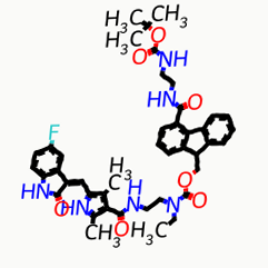 CCN(CCNC(=O)c1c(C)[nH]c(C=C2C(=O)Nc3ccc(F)cc32)c1C)C(=O)OCC1c2ccccc2-c2c(C(=O)NCCNC(=O)OC(C)(C)C)cccc21